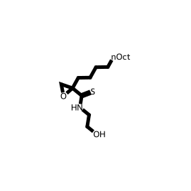 CCCCCCCCCCCCC1(C(=S)NCCO)CO1